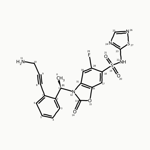 C[C@H](c1ccccc1C#CCN)n1c(=O)oc2cc(S(=O)(=O)Nc3ncns3)c(F)cc21